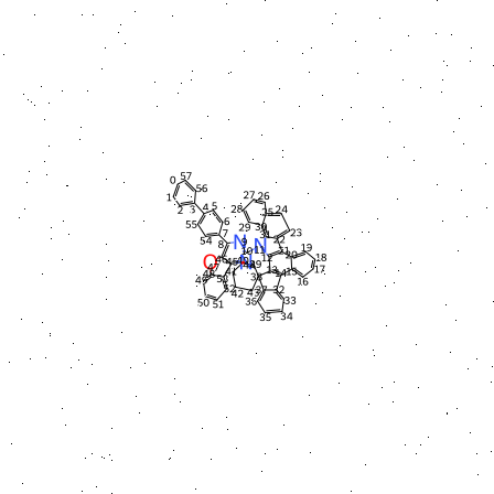 c1ccc(-c2ccc(-c3nc(-n4c5c6c(c7ccccc7c5c5ccc7ccccc7c54)-c4ccccc4C64CCCCC4)nc4c3oc3ccccc34)cc2)cc1